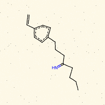 C=Cc1ccc(CCCC(=N)CCCC)cc1